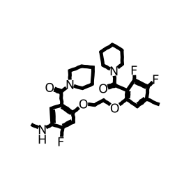 CNc1cc(C(=O)N2CCCCC2)c(OCCOc2cc(C)c(F)c(F)c2C(=O)N2CCCCC2)cc1F